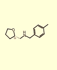 Cc1ccc(CNC[C@@H]2CCCO2)cc1